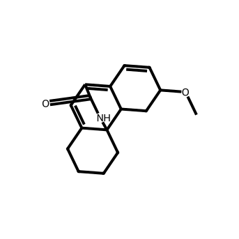 COC1C=CC2=C3C=C4CCCCC4(NC3=O)C2C1